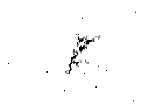 NC(=O)N(CCCl)CCCl.Oc1nc(Cl)nc(Cl)n1